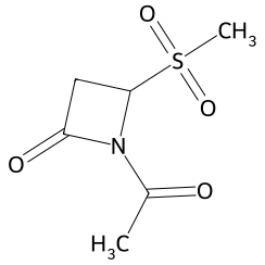 CC(=O)N1C(=O)CC1S(C)(=O)=O